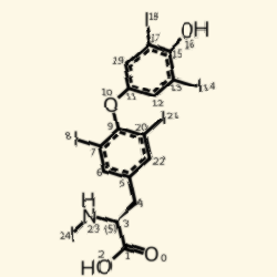 O=C(O)[C@H](Cc1cc(I)c(Oc2cc(I)c(O)c(I)c2)c(I)c1)NI